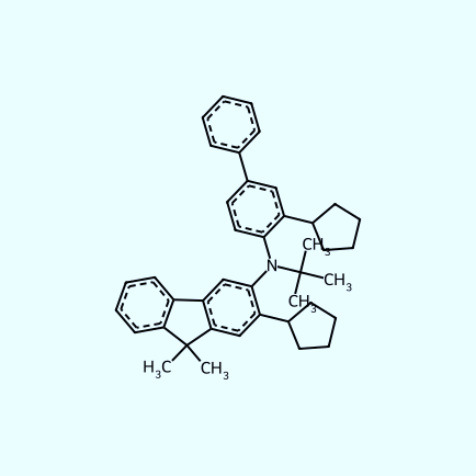 CC1(C)c2ccccc2-c2cc(N(c3ccc(-c4ccccc4)cc3C3CCCC3)C(C)(C)C)c(C3CCCC3)cc21